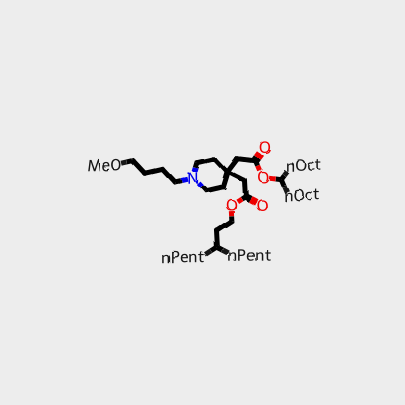 CCCCCCCCC(CCCCCCCC)OC(=O)CC1(CC(=O)OCCC(CCCCC)CCCCC)CCN(CCCCOC)CC1